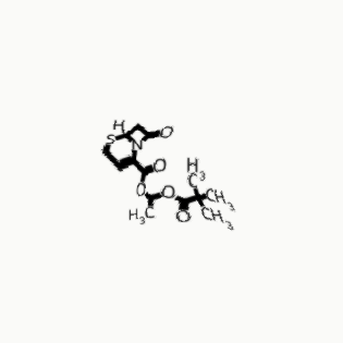 CC(OC(=O)C1=CCS[C@H]2CC(=O)N12)OC(=O)C(C)(C)C